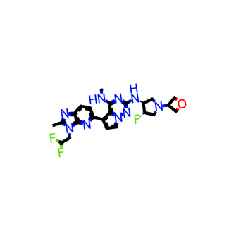 CNc1nc(N[C@@H]2CN(C3COC3)C[C@@H]2F)nn2ccc(-c3ccc4nc(C)n(CC(F)F)c4n3)c12